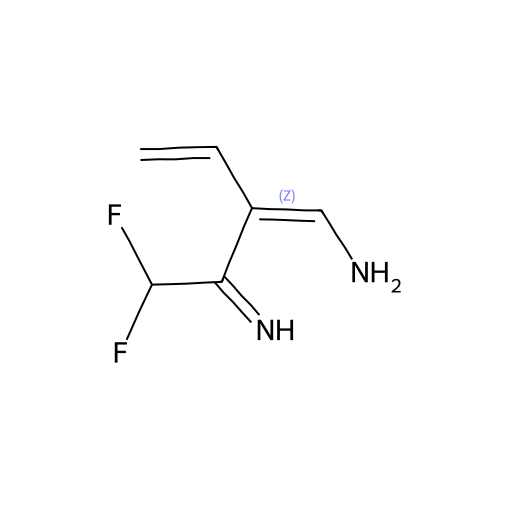 C=C/C(=C/N)C(=N)C(F)F